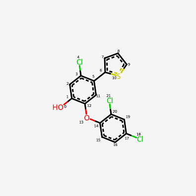 Oc1cc(Cl)c(-c2cccs2)cc1Oc1ccc(Cl)cc1Cl